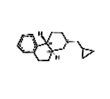 c1ccc2c(c1)CC[C@@H]1CN(CC3CC3)CC[C@@H]21